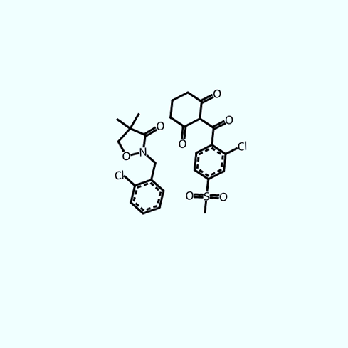 CC1(C)CON(Cc2ccccc2Cl)C1=O.CS(=O)(=O)c1ccc(C(=O)C2C(=O)CCCC2=O)c(Cl)c1